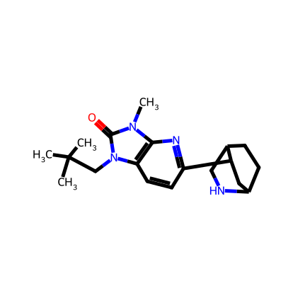 Cn1c(=O)n(CC(C)(C)C)c2ccc(C3CC4CCC3CN4)nc21